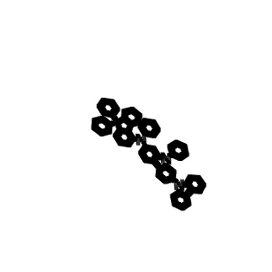 c1ccc(N(c2ccc3c4ccc(-n5c6ccccc6c6ccccc65)cc4n(-c4ccccc4)c3c2)c2cccc3c2-c2ccccc2C3(c2ccccc2)c2ccccc2)cc1